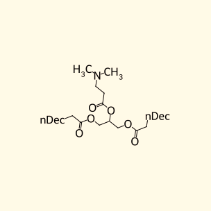 CCCCCCCCCCCC(=O)OCC(COC(=O)CCCCCCCCCCC)OC(=O)CCN(C)C